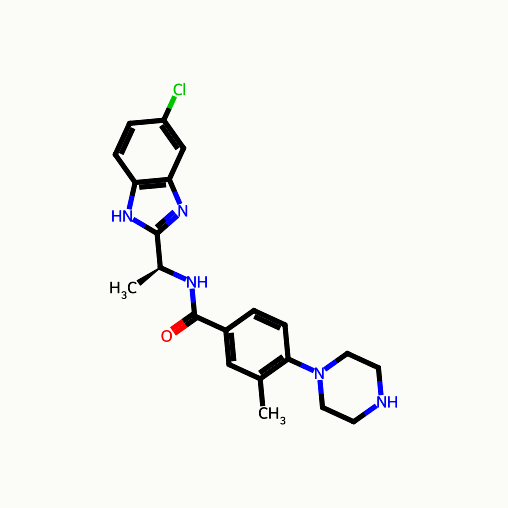 Cc1cc(C(=O)N[C@@H](C)c2nc3cc(Cl)ccc3[nH]2)ccc1N1CCNCC1